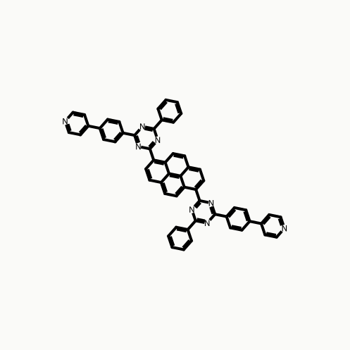 c1ccc(-c2nc(-c3ccc(-c4ccncc4)cc3)nc(-c3ccc4ccc5c(-c6nc(-c7ccccc7)nc(-c7ccc(-c8ccncc8)cc7)n6)ccc6ccc3c4c65)n2)cc1